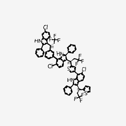 FC(F)(F)C[C@H](c1cccc(-c2c(Cl)ccc3c([C@@H](CC(F)(F)F)c4cc(-c5c(Cl)ccc6c([C@H](CC(F)(F)F)c7cccs7)c(-c7ccccc7)[nH]c56)cs4)c(-c4ccccc4)[nH]c23)c1)c1c(-c2ccccc2)[nH]c2cc(Cl)ccc12